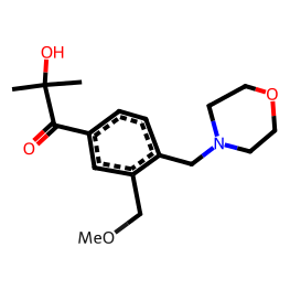 COCc1cc(C(=O)C(C)(C)O)ccc1CN1CCOCC1